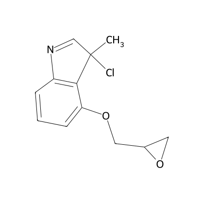 CC1(Cl)C=Nc2cccc(OCC3CO3)c21